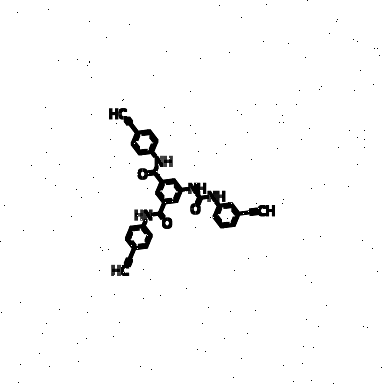 C#Cc1ccc(NC(=O)c2cc(NC(=O)Nc3cccc(C#C)c3)cc(C(=O)Nc3ccc(C#C)cc3)c2)cc1